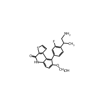 COc1ccc2[nH]c(=O)c3sccc3c2c1-c1ccc(C(C)CN)c(F)c1.Cl